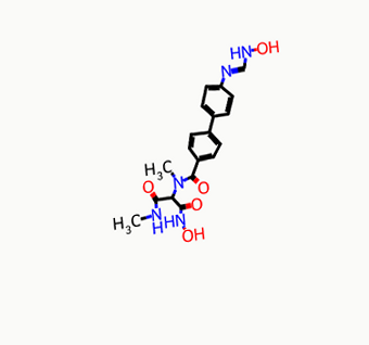 CNC(=O)C(C(=O)NO)N(C)C(=O)c1ccc(-c2ccc(/N=C/NO)cc2)cc1